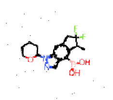 CC1c2c(cc3c(cnn3C3CCCCO3)c2B(O)O)CC1(F)F